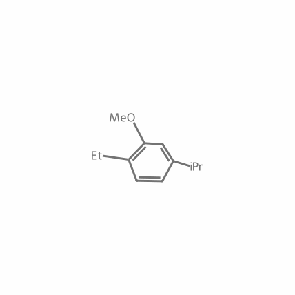 [CH2]C(C)c1ccc(CC)c(OC)c1